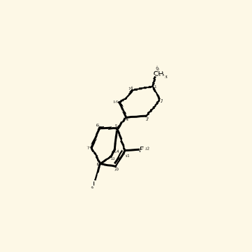 CC1CCC(C23CCC(I)(C=C2F)CC3)CC1